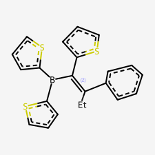 CC/C(=C(\B(c1cccs1)c1cccs1)c1cccs1)c1ccccc1